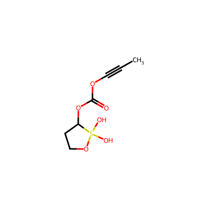 CC#COC(=O)OC1CCOS1(O)O